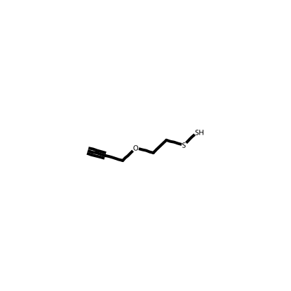 C#CCOCCSS